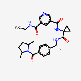 CC1CCC(C)N1C(=O)c1ccc([C@@H](C)NC(=O)C2(NC(=O)c3cncc(C(=O)NCC(F)(F)F)c3)CC2)cc1